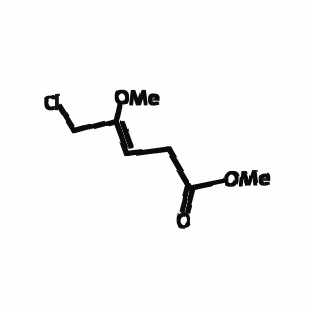 COC(=O)C/C=C(/CCl)OC